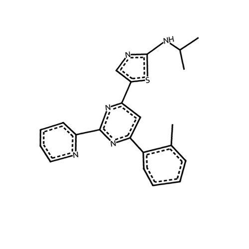 Cc1ccccc1-c1cc(-c2cnc(NC(C)C)s2)nc(-c2ccccn2)n1